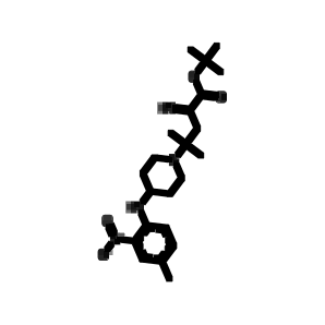 Cc1ccc(NC2CCN(C(C)(C)CC(=N)C(=O)OC(C)(C)C)CC2)c([N+](=O)[O-])c1